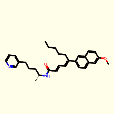 CCCCC/C(=C\C=C\C(=O)N[C@H](C)CCCc1cccnc1)c1ccc2cc(OC)ccc2c1